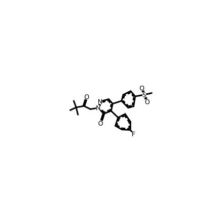 CC(C)(C)C(=O)Cn1ncc(-c2ccc(S(C)(=O)=O)cc2)c(-c2ccc(F)cc2)c1=O